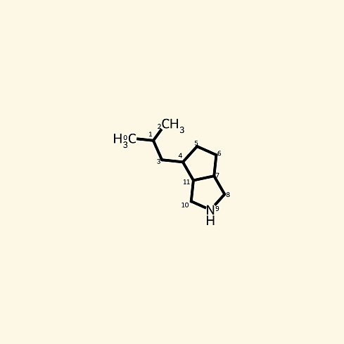 CC(C)CC1CCC2CNCC21